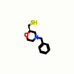 SC[C@@H]1CN(Cc2ccccc2)CCO1